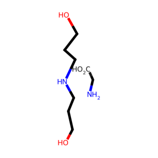 NCC(=O)O.OCCCNCCCO